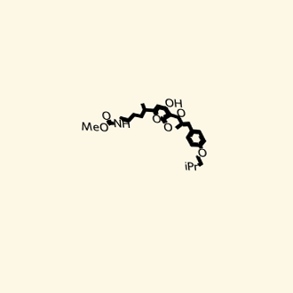 COC(=O)N/C=C/CCC(C)c1cc(O)c(C(=O)/C(C)=C/c2ccc(OCCC(C)C)cc2)c(=O)o1